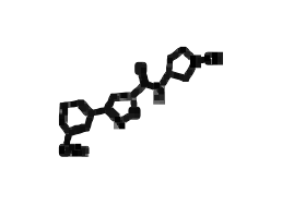 COc1cccc(-c2cc(C(=O)NC3CCN(C#N)C3)on2)c1